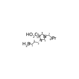 BCCC[C@H]1CN(CC(C)C)C[C@H]1C(=O)O